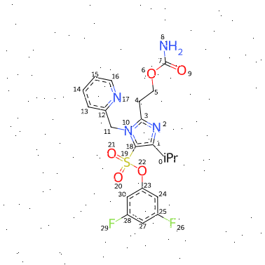 CC(C)c1nc(CCOC(N)=O)n(Cc2ccccn2)c1S(=O)(=O)Oc1cc(F)cc(F)c1